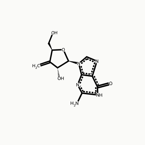 C=C1[C@@H](O)[C@H](n2cnc3c(=O)[nH]c(N)nc32)O[C@@H]1CO